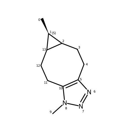 C[C@H]1C2CCc3nnn(C)c3CCC21